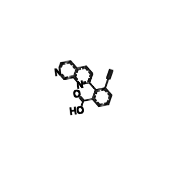 C#Cc1cccc(C(=O)O)c1-c1ccc2ccncc2n1